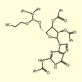 CC(C)C(=O)Nc1nc2c(ncn2C2O[C@H](COP(OCCC#N)N(C(C)C)C(C)C)C(OC(=O)C(C)C)[C@H]2OC(=O)C(C)C)c(=O)[nH]1